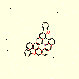 c1ccc(-c2ccccc2-c2c(-c3ccccc3)cccc2N(c2ccccc2-c2cccc3c2oc2ccccc23)c2ccccc2-c2cccc3c2oc2ccccc23)cc1